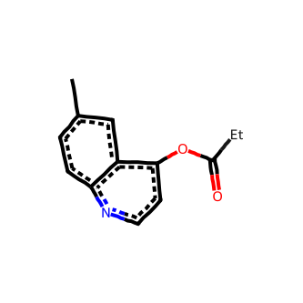 CCC(=O)Oc1ccnc2ccc(C)cc12